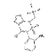 Cc1ccccc1C1=C(O)c2ncoc2N(CC(F)(F)F)S1(=O)=O